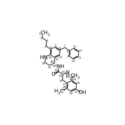 CCCCc1cc(Cc2ccccc2)cc2c1NCC[C@H]2NC(=O)[C@@H](N)Cc1c(C)cc(O)cc1C